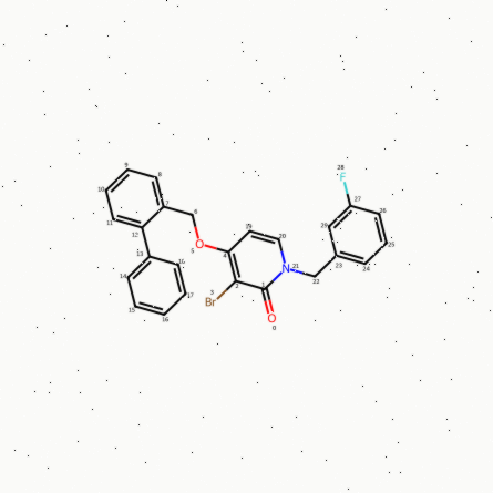 O=c1c(Br)c(OCc2ccccc2-c2ccccc2)ccn1Cc1cccc(F)c1